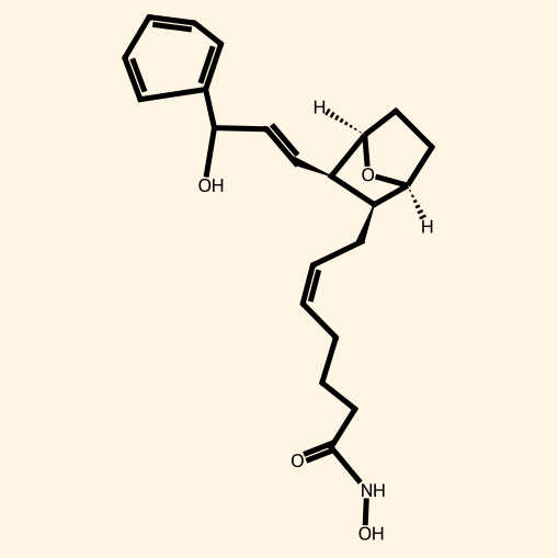 O=C(CCC/C=C\C[C@H]1[C@@H](/C=C/C(O)c2ccccc2)[C@H]2CC[C@@H]1O2)NO